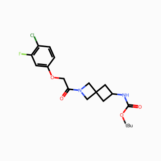 CC(C)(C)OC(=O)NC1CC2(C1)CN(C(=O)COc1ccc(Cl)c(F)c1)C2